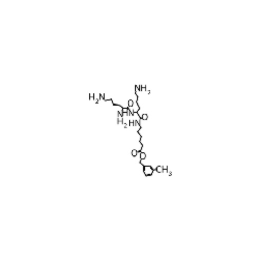 Cc1cccc(COC(=O)CCCCCNC(=O)C(CCCCN)NC(=O)C(N)CCCCN)c1